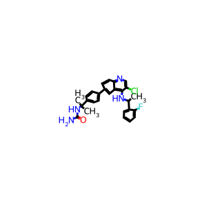 CC(Nc1c(Cl)cnc2ccc(-c3ccc(C(C)(C)NC(N)=O)cc3)cc12)c1ccccc1F